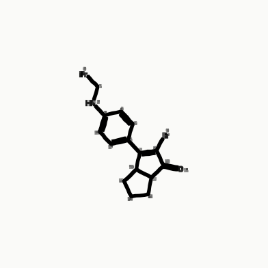 CC(C)CNc1ccc(C2=C(Br)C(=O)C3CCCC23)cc1